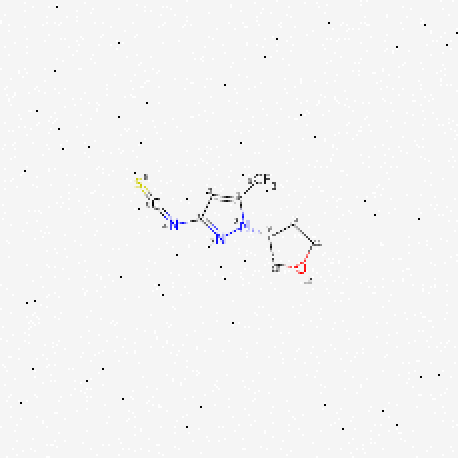 FC(F)(F)c1cc(N=C=S)nn1[C@@H]1CCOC1